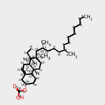 CCCCCCCCC(C)CCC[C@@H](C)[C@H]1CC[C@H]2[C@@H]3CC=C4C[C@@H](OC(=O)O)CC[C@]4(C)[C@H]3CC[C@]12C